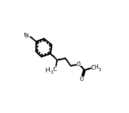 CC(=O)OCCC(C)c1ccc(Br)cc1